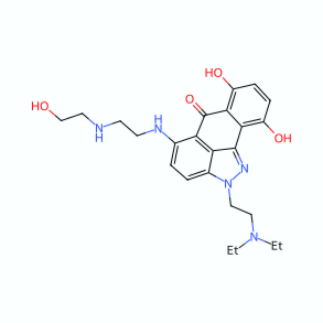 CCN(CC)CCn1nc2c3c(c(NCCNCCO)ccc31)C(=O)c1c(O)ccc(O)c1-2